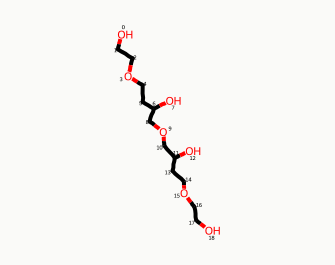 OCCOCCC(O)COCC(O)CCOCCO